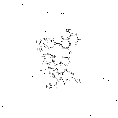 CCOc1cc(O[C@@H]2C[C@@H](C(=O)N[C@]3(C(=O)OC)C[C@H]3CC)N(C(=O)C(NC(=O)OC(C)(C)C)C3(C(F)(F)F)CC3)C2)c2cccc(Cl)c2n1